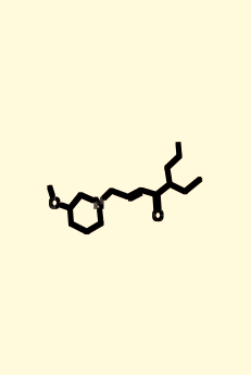 CCCC(CC)C(=O)/C=C/CN1CCCC(OC)C1